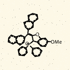 COc1ccc2c(c1)OC(=C(c1ccc3ccccc3c1)c1ccc3ccccc3c1)C2P(=O)(c1ccccc1)c1ccccc1